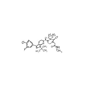 CNC(=O)CN1CCN(C(=O)c2ccc3c(-c4ccc(Cl)c(F)c4)cn(C(C)(C)C)c3n2)C(C)(C)C1=O